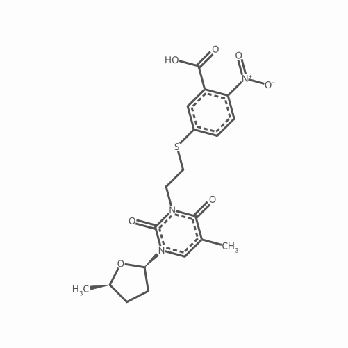 Cc1cn([C@H]2CC[C@@H](C)O2)c(=O)n(CCSc2ccc([N+](=O)[O-])c(C(=O)O)c2)c1=O